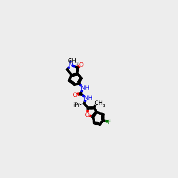 Cc1c([C@@H](NC(=O)Nc2ccc3c(c2)C(=O)N(C)C3)C(C)C)oc2ccc(F)cc12